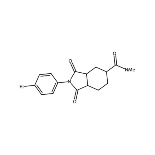 CCc1ccc(N2C(=O)C3CCC(C(=O)NC)CC3C2=O)cc1